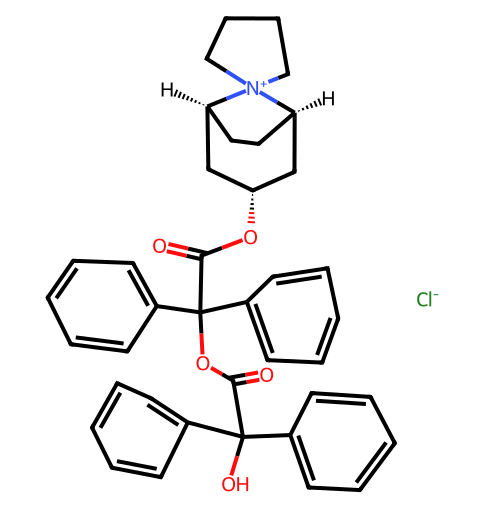 O=C(OC(C(=O)O[C@H]1C[C@H]2CC[C@@H](C1)[N+]21CCCC1)(c1ccccc1)c1ccccc1)C(O)(c1ccccc1)c1ccccc1.[Cl-]